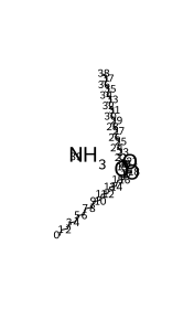 CCCCCCCCCCCCCCCCCC(=O)OC(=O)CCCCCCCCCCCCCCCCC.N